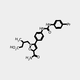 CC(CC(=O)O)CN1OC(C(N)=O)C=C1c1ccc(NC(=O)Nc2ccc(C(C)C)cc2)cc1